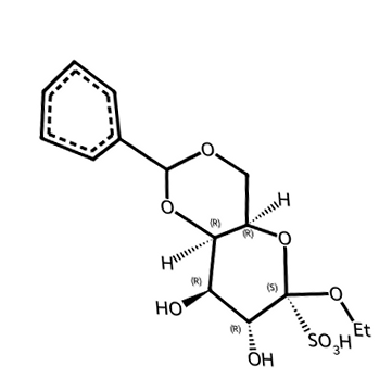 CCO[C@]1(S(=O)(=O)O)O[C@@H]2COC(c3ccccc3)O[C@@H]2[C@H](O)[C@H]1O